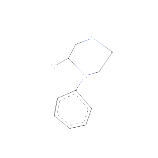 O=NC1CNCCN1c1ccccc1